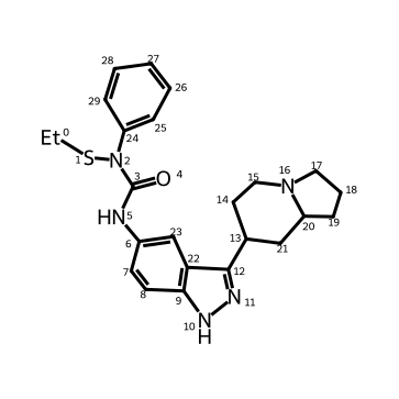 CCSN(C(=O)Nc1ccc2[nH]nc(C3CCN4CCCC4C3)c2c1)c1ccccc1